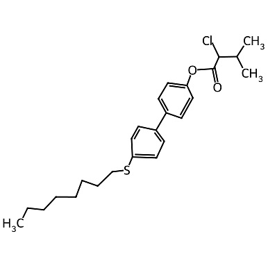 CCCCCCCCSc1ccc(-c2ccc(OC(=O)C(Cl)C(C)C)cc2)cc1